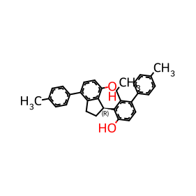 CCc1c(-c2ccc(C)cc2)ccc(O)c1[C@H]1CCc2c(-c3ccc(C)cc3)ccc(O)c21